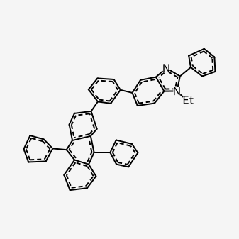 CCn1c(-c2ccccc2)nc2cc(-c3cccc(-c4ccc5c(-c6ccccc6)c6ccccc6c(-c6ccccc6)c5c4)c3)ccc21